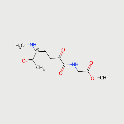 CN[C@@H](CCC(=O)C(=O)NCC(=O)OC)C(C)=O